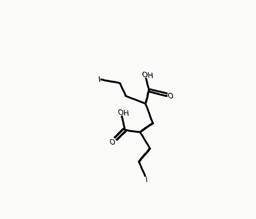 O=C(O)C(CCI)CC(CCI)C(=O)O